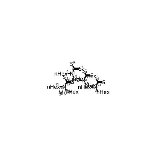 CCCCCCN(CCCCCC)C(=S)[S-].CCCCCCN(CCCCCC)C(=S)[S-].CCCCCCN(CCCCCC)C(=S)[S-].CCCCCCN(CCCCCC)C(=S)[S-].[Mo+4]